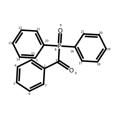 O=C(c1ccccc1)P(=O)(c1ccccc1)c1ccccc1